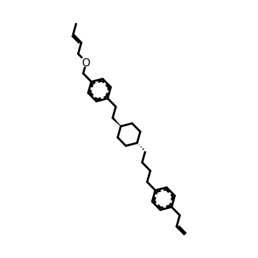 C=CCc1ccc(CCCC[C@H]2CC[C@H](CCc3ccc(COCC=CC)cc3)CC2)cc1